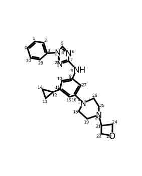 c1ccc(-n2cnc(Nc3cc(C4CC4)cc(N4CCN(C5COC5)CC4)c3)n2)cc1